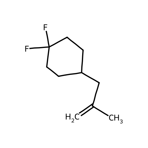 C=C(C)CC1CCC(F)(F)CC1